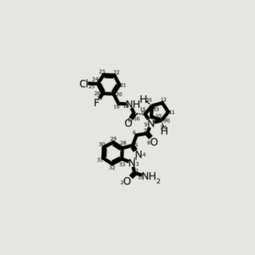 NC(=O)n1nc(CC(=O)N2[C@@H]3CC[C@@H](C3)[C@H]2C(=O)NCc2cccc(Cl)c2F)c2ccccc21